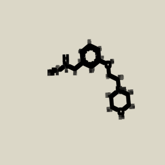 CCCNCc1cccc(OCCN2CCOCC2)c1